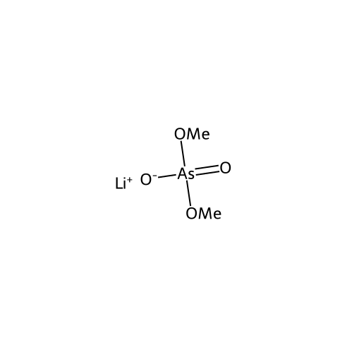 CO[As](=O)([O-])OC.[Li+]